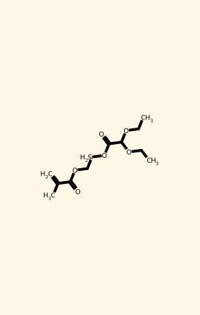 C=C(C)C(=O)OC[SiH2]OC(=O)C(OCC)OCC